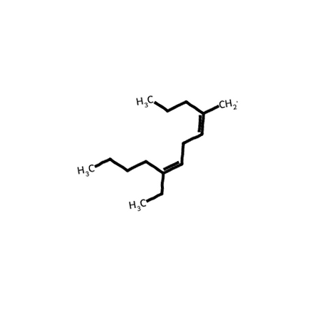 [CH2]C(=CCC=C(CC)CCCC)CCC